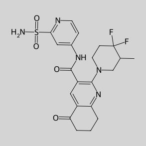 CC1CN(c2nc3c(cc2C(=O)Nc2ccnc(S(N)(=O)=O)c2)C(=O)CCC3)CCC1(F)F